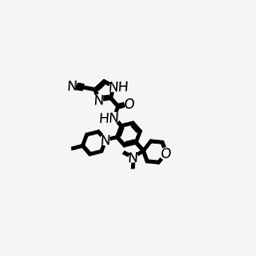 CC1CCN(c2cc(C3(N(C)C)CCOCC3)ccc2NC(=O)c2nc(C#N)c[nH]2)CC1